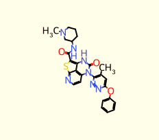 Cc1cc(Oc2ccccc2)nnc1N1C(=O)Nc2c(C(=O)NC3CCCN(C)C3)sc3nccc1c23